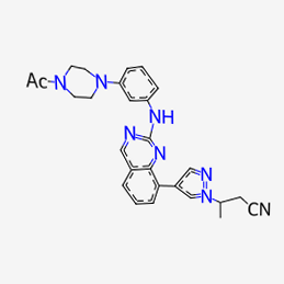 CC(=O)N1CCN(c2cccc(Nc3ncc4cccc(-c5cnn(C(C)CC#N)c5)c4n3)c2)CC1